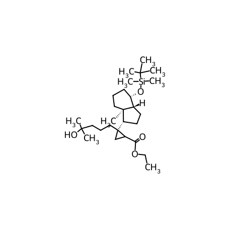 CCOC(=O)C1CC1(CCCC(C)(C)O)[C@H]1CC[C@H]2[C@@H](O[Si](C)(C)C(C)(C)C)CCC[C@]12C